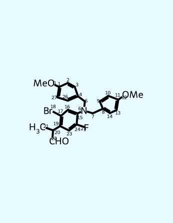 COc1ccc(CN(Cc2ccc(OC)cc2)c2cc(Br)c(C(C)C=O)cc2F)cc1